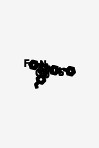 CCC1CCC(Oc2c(N3CCN(SCc4ccccc4)CC3)cnn(-c3ccc(F)cc3)c2=O)CC1